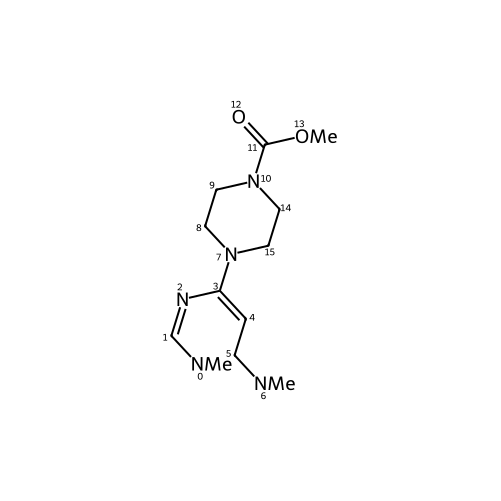 CN/C=N\C(=C/CNC)N1CCN(C(=O)OC)CC1